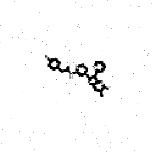 Cc1cc2[nH]c(-c3ccnc(NC(=O)Cc4ccc(F)cc4)c3)c(-c3ccccn3)c2nc1F